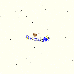 Cc1cc(/N=N/c2scc[n+]2C)ccc1N1CCN(c2ccc(/N=N/c3scc[n+]3C)cc2C)CC1.[Br-].[Br-]